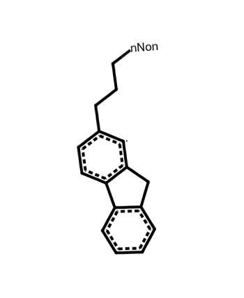 CCCCCCCCCCCCc1[c]c2c(cc1)-c1ccccc1C2